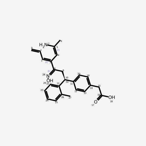 C=C/C=C(\C=C(\C)N)C(/C[C@@H](c1ccc(CC(=O)O)cc1)c1ccccc1C)=N/O